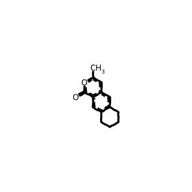 Cc1cc2cc3c(cc2c(=O)o1)CCCC3